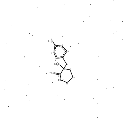 Nc1ccc(CC2(C(=O)O)CCCNC2=O)nn1